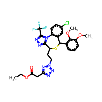 CCOC(=O)Cc1nnn(CCC2SC(c3cccc(OC)c3OC)c3cc(Cl)ccc3-n3c2nnc3C(F)(F)F)n1